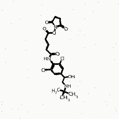 CC(C)(C)NCC(O)c1cc(Cl)c(NC(=O)CCCC(=O)ON2C(=O)CCC2=O)c(Cl)c1